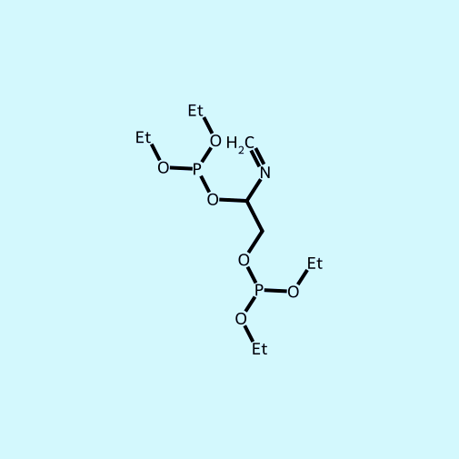 C=NC(COP(OCC)OCC)OP(OCC)OCC